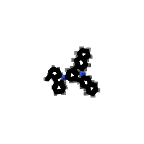 CC1CCCc2c1c1ccccc1n2-c1cc2c3cc4ccccc4cc3n3c4cc5ccccc5cc4c(c1)c23